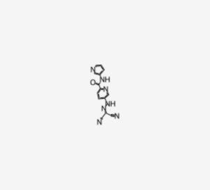 N#CC(C#N)=NNc1ccc(C(=O)Nc2cccnc2)nc1